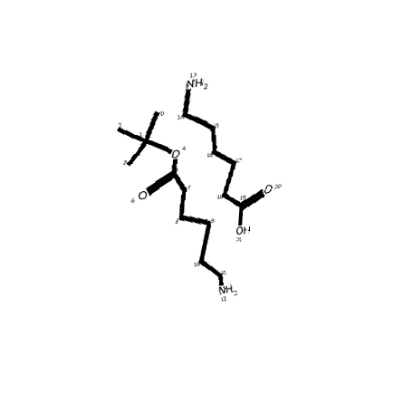 CC(C)(C)OC(=O)CCCCCN.NCCCCCC(=O)O